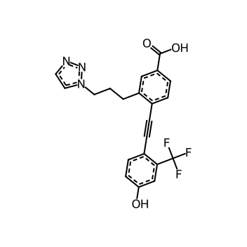 O=C(O)c1ccc(C#Cc2ccc(O)cc2C(F)(F)F)c(CCCn2ccnn2)c1